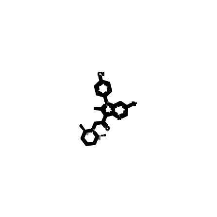 Cc1c(C(=O)CN2[C@H](C)CCC[C@H]2C)c2ncc(Br)cc2n1-c1ccc(C#N)cc1